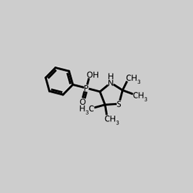 CC1(C)NC(P(=O)(O)c2ccccc2)C(C)(C)S1